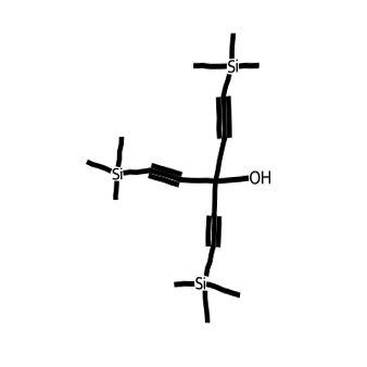 C[Si](C)(C)C#CC(O)(C#C[Si](C)(C)C)C#C[Si](C)(C)C